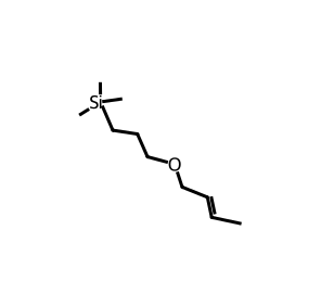 CC=CCOCCC[Si](C)(C)C